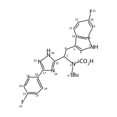 CC(C)(C)N(C(=O)O)C(Cc1c[nH]c2cc(F)ccc12)c1nc(-c2ccc(F)cc2)n[nH]1